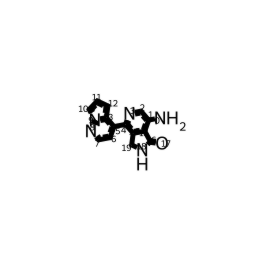 Nc1cnc(-c2ccnn3cccc23)c2c1C(=O)NC2